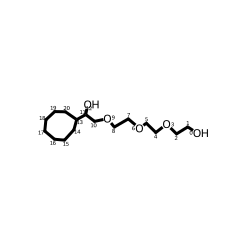 OCCOCCOCCOCC(O)C1CCCCCCC1